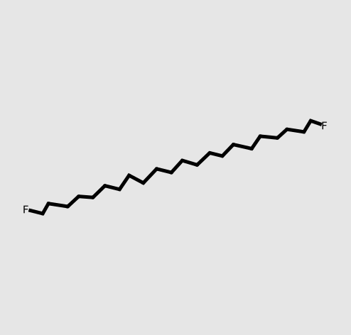 FCCCCCCCCCCCCCCCCCCCCCCF